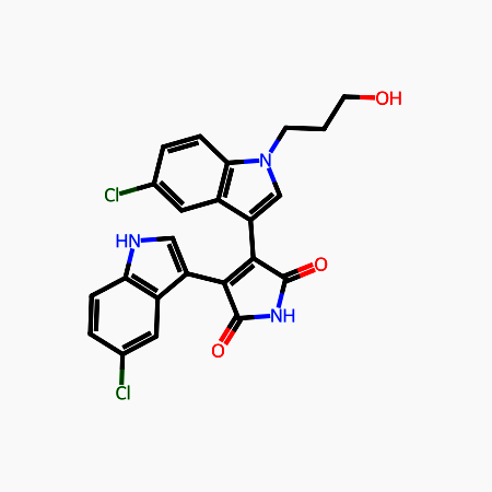 O=C1NC(=O)C(c2cn(CCCO)c3ccc(Cl)cc23)=C1c1c[nH]c2ccc(Cl)cc12